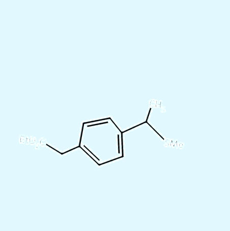 CCOC(=O)Cc1ccc(C(C)SC)cc1